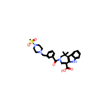 CC1(C)CN(C(=O)c2cccc(CN3CCN(S(C)(=O)=O)CC3)c2)C=C(C(=O)O)c2[nH]c3ccccc3c21